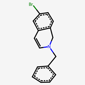 Brc1ccc2c(c1)C=CN(Cc1ccccc1)C2